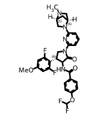 COc1cc(F)c([C@@H]2CN(c3cccc(N4C[C@@H]5C[C@H]4CN5C)n3)C(=O)C2NC(=O)c2ccc(OC(F)F)cc2)c(F)c1